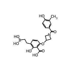 Cc1cc(C(=O)N2CC(Oc3ccc(CCB(O)O)c(O)c3C(=O)O)C2)ccc1O